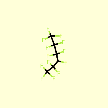 F[C](C(F)(F)C(F)(F)F)C(F)(F)C(F)(F)C(F)(F)F